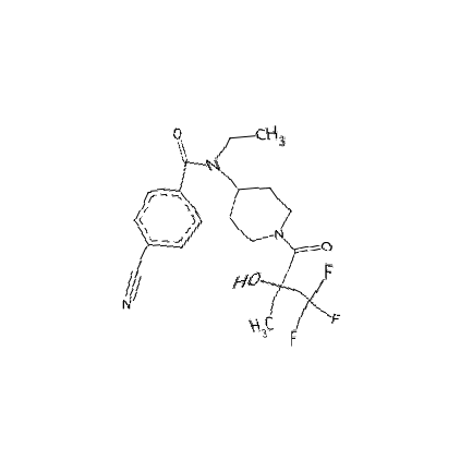 CCN(C(=O)c1ccc(C#N)cc1)C1CCN(C(=O)C(C)(O)C(F)(F)F)CC1